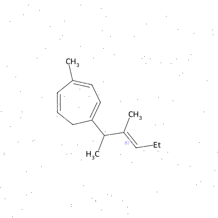 CC/C=C(\C)C(C)C1=CC=C(C)C=CC1